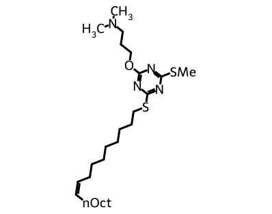 CCCCCCCC/C=C\CCCCCCCCSc1nc(OCCCN(C)C)nc(SC)n1